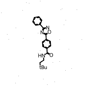 CC(C)(C)CCNC(=O)c1ccc(-c2nc(-c3ccccc3)no2)cc1